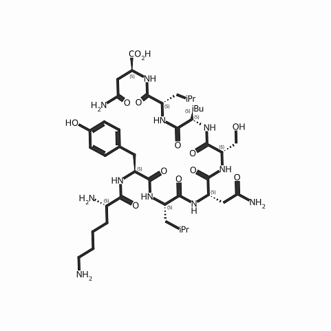 CC[C@H](C)[C@H](NC(=O)[C@H](CO)NC(=O)[C@H](CC(N)=O)NC(=O)[C@H](CC(C)C)NC(=O)[C@H](Cc1ccc(O)cc1)NC(=O)[C@@H](N)CCCCN)C(=O)N[C@@H](CC(C)C)C(=O)N[C@@H](CC(N)=O)C(=O)O